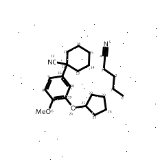 CCCCC#N.COc1ccc(C2(C#N)CCCCC2)cc1OC1CCCC1